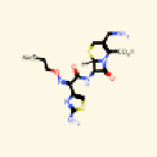 CSCCO/N=C(\C(=O)NC1C(=O)N2C(C(=O)O)=C(CN)CS[C@@H]12)c1csc(N)n1